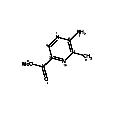 COC(=O)c1cnc(N)c(C)n1